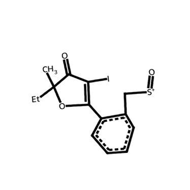 CCC1(C)OC(c2ccccc2C[S+]=O)=C(I)C1=O